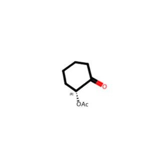 CC(=O)O[C@@H]1CCCCC1=O